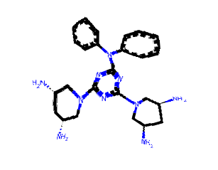 N[C@@H]1C[C@H](N)CN(c2nc(N3C[C@H](N)C[C@H](N)C3)nc(N(c3ccccc3)c3ccccc3)n2)C1